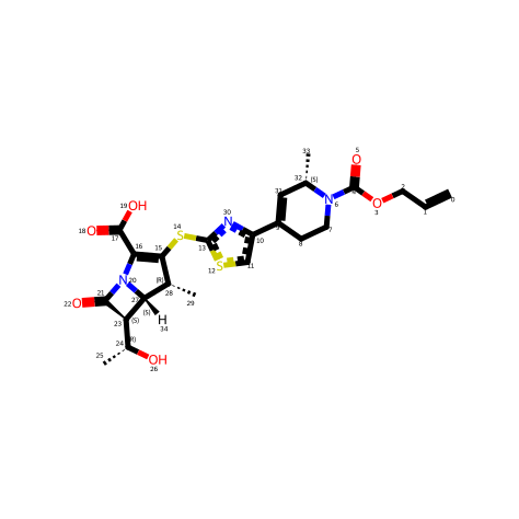 C=CCOC(=O)N1CCC(c2csc(SC3=C(C(=O)O)N4C(=O)[C@H]([C@@H](C)O)[C@H]4[C@H]3C)n2)=C[C@@H]1C